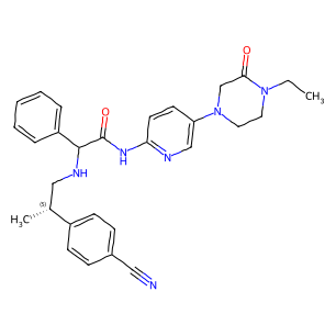 CCN1CCN(c2ccc(NC(=O)C(NC[C@@H](C)c3ccc(C#N)cc3)c3ccccc3)nc2)CC1=O